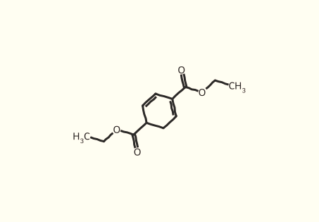 CCOC(=O)C1=CCC(C(=O)OCC)C=C1